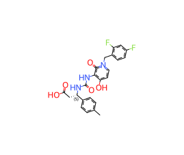 Cc1ccc([C@H](CC(=O)O)NC(=O)Nc2c(O)ccn(Cc3ccc(F)cc3F)c2=O)cc1